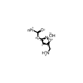 CCCC(=O)Oc1cc(CN)on1.Cl